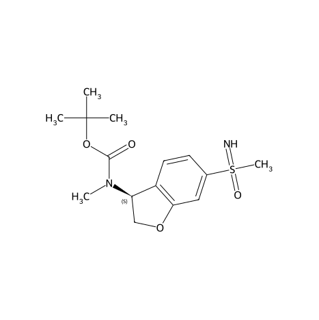 CN(C(=O)OC(C)(C)C)[C@@H]1COc2cc(S(C)(=N)=O)ccc21